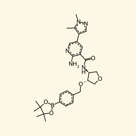 Cc1c(-c2cnc(N)c(C(=O)N[C@H]3COC[C@@H]3OCc3ccc(B4OC(C)(C)C(C)(C)O4)cc3)c2)cnn1C